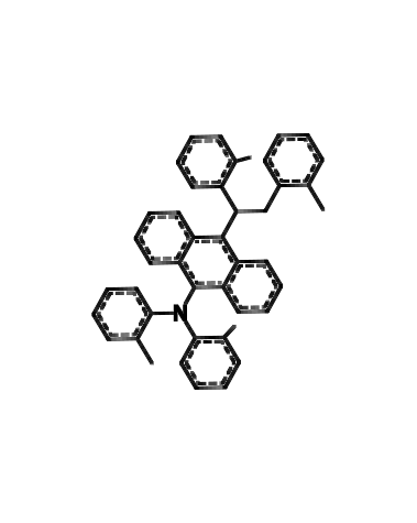 Cc1ccccc1CC(c1ccccc1C)c1c2ccccc2c(N(c2ccccc2C)c2ccccc2C)c2ccccc12